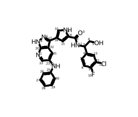 O=C(NC(CO)c1ccc(F)c(Cl)c1)c1cc(-c2n[nH]c3ncc(Nc4ccccc4)cc23)c[nH]1